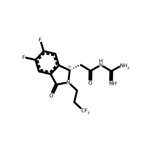 N=C(N)NC(=O)C[C@H]1c2cc(F)c(F)cc2C(=O)N1CCC(F)(F)F